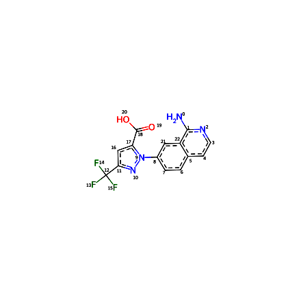 Nc1nccc2ccc(-n3nc(C(F)(F)F)cc3C(=O)O)cc12